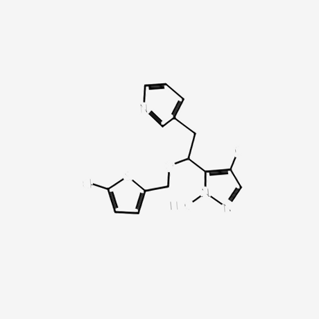 Cn1ncc(Cl)c1C(Cc1cccnc1)OCc1ccc(Cl)s1